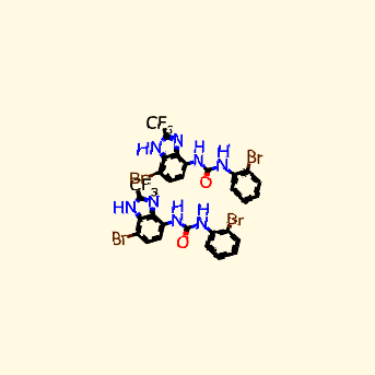 O=C(Nc1ccccc1Br)Nc1ccc(Br)c2[nH]c(C(F)(F)F)nc12.O=C(Nc1ccccc1Br)Nc1ccc(Br)c2[nH]c(C(F)(F)F)nc12